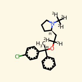 [2H]C([2H])(C[C@H]1CCCN1C([2H])([2H])[2H])O[C@](C)(c1ccccc1)c1ccc(Cl)cc1